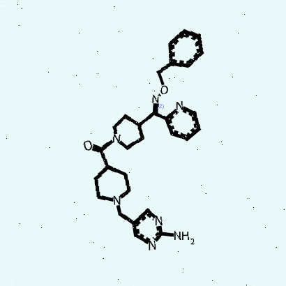 Nc1ncc(CN2CCC(C(=O)N3CCC(/C(=N/OCc4ccccc4)c4ccccn4)CC3)CC2)cn1